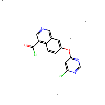 O=C(Cl)c1cncc2cc(Oc3cc(Cl)ncn3)ccc12